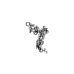 Cn1cc(S(=O)(=O)N2CCN(C3(CNC(=O)c4c(F)cc(Cl)cc4F)CCC(F)(F)CC3)CC2)nn1